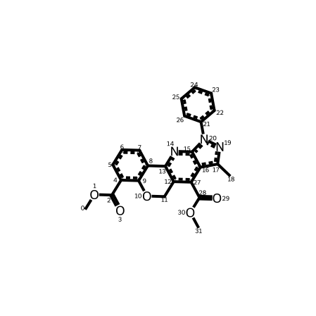 COC(=O)c1cccc2c1OCc1c-2nc2c(c(C)nn2-c2ccccc2)c1C(=O)OC